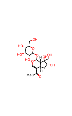 COC(=O)C1=CO[C@@H](O[C@@H]2O[C@H](CO)[C@@H](O)[C@H](O)[C@H]2O)[C@H]2[C@@H]1C[C@@H](O)[C@@]2(O)CO